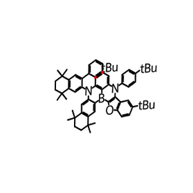 CC(C)(C)c1ccc(N2c3cc(C(C)(C)C)cc4c3B(c3cc5c(cc3N4c3cc4c(cc3-c3ccccc3)C(C)(C)CCC4(C)C)C(C)(C)CCC5(C)C)c3oc4ccc(C(C)(C)C)cc4c32)cc1